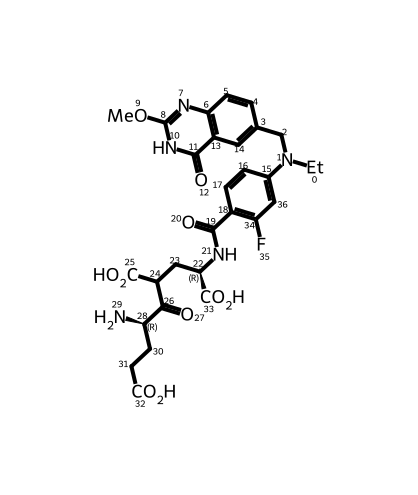 CCN(Cc1ccc2nc(OC)[nH]c(=O)c2c1)c1ccc(C(=O)N[C@H](CC(C(=O)O)C(=O)[C@H](N)CCC(=O)O)C(=O)O)c(F)c1